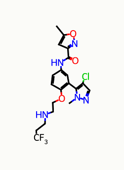 Cc1cc(C(=O)Nc2ccc(OCCNCCC(F)(F)F)c(-c3c(Cl)cnn3C)c2)no1